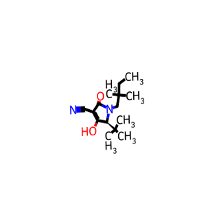 CCC(C)(C)CN1C(=O)C(C#N)=C(O)[C@@H]1C(C)(C)C